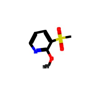 CCCOc1ncccc1S(C)(=O)=O